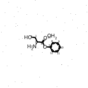 N[C@@H](CO)C(=O)Oc1ccccc1.O